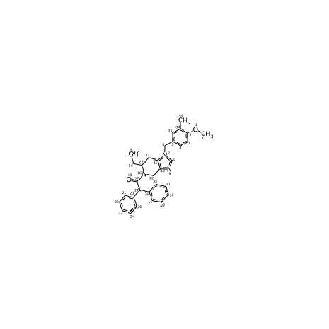 COc1ccc(Cn2cnc3c2CC(CO)N(C(=O)C(c2ccccc2)c2ccccc2)C3)cc1C